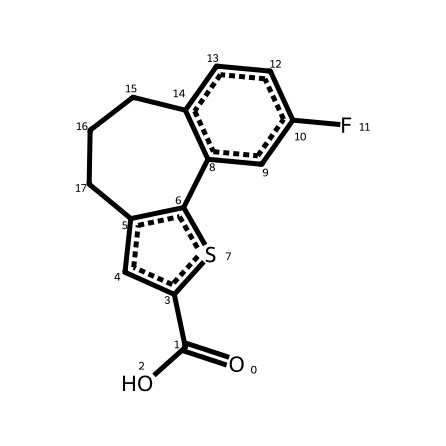 O=C(O)c1cc2c(s1)-c1cc(F)ccc1CCC2